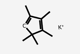 CC1=[C-]C(C)(C)C(C)=C1C.[K+]